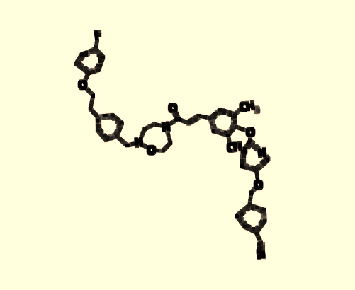 Cc1cc(C=CC(=O)N2CCON(Cc3ccc(CCOc4ccc(F)cc4)cc3)CC2)cc(C)c1Oc1ccc(OCc2ccc(C#N)cc2)cn1